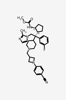 COC(=O)N[C@H]1CCC[C@@H]1C(Cn1ccnc1C)(c1cccc(F)c1)C1CCN(CC2CN(c3ccc(C#N)cc3)C2)CC1